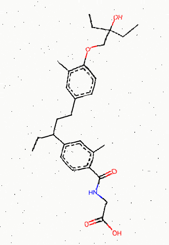 CCC(CCc1ccc(OCC(O)(CC)CC)c(C)c1)c1ccc(C(=O)NCC(=O)O)c(C)c1